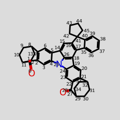 O=C1c2cc3c(cc2C2CCC1CC2)c1cc2c(c4c5cc6c(cc5n3c14)C(=O)C1CCC6CC1)-c1ccccc1C21CCCC1